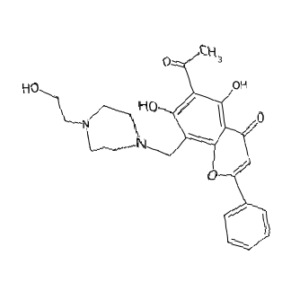 CC(=O)c1c(O)c(CN2CCN(CCO)CC2)c2oc(-c3ccccc3)cc(=O)c2c1O